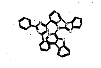 c1ccc(-c2nc(-c3ccccc3)nc(-c3cccc4c3n(-c3nccc5c3oc3ccccc35)c3nc5ccccc5n43)n2)cc1